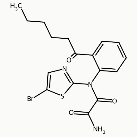 CCCCCC(=O)c1ccccc1N(C(=O)C(N)=O)c1ncc(Br)s1